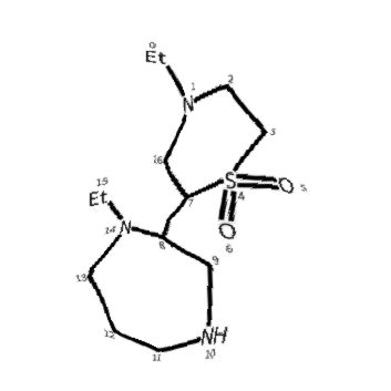 CCN1CCS(=O)(=O)C(C2CNCCCN2CC)C1